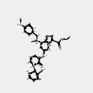 CCOC(=O)c1cnc2c(N(C)Cc3ccc(OC)cc3)cc(Nc3cccn(-c4ncccc4F)c3=O)nn12